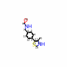 CC1=C(c2ccc(CNC=O)cc2)SCN1